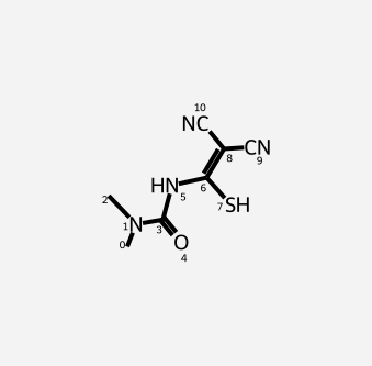 CN(C)C(=O)NC(S)=C(C#N)C#N